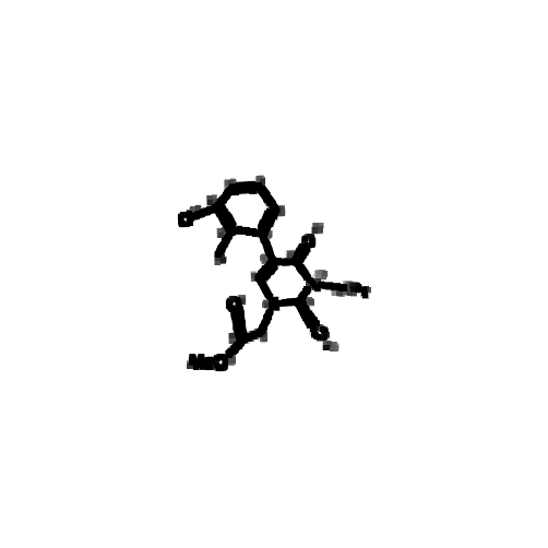 COC(=O)Cn1cc(-c2cccc(Cl)c2C)c(=O)n(C(C)C)c1=O